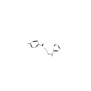 Cc1ccc(C(=O)NCCC(C)c2ccccn2)cc1